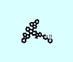 CC1(C)c2cc(-c3ccc(C4=CC=CCN4)nc3)ccc2-c2cc3c(-c4ccc5c6c(cccc46)-c4ccccc4-5)c4ccccc4c(-c4ccc5c6c(cccc46)-c4ccccc4-5)c3cc21